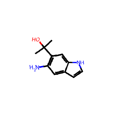 CC(C)(O)c1cc2[nH]ccc2cc1N